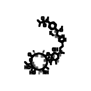 CC[C@H]1OC(=O)[C@H](C)C[C@H](C)[C@@H](O[C@@H]2O[C@H](C)C[C@H](N(C)CCc3cn([C@H](CF)[C@H](OC)c4ccc(N(C)S(=O)(=O)C(C)C)cc4)nn3)[C@H]2O)[C@](C)(OC)C[C@@H](C)C(=N)[C@H](C)[C@@H](O)[C@]1(C)O